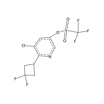 O=S(=O)(Oc1cnc(C2CC(F)(F)C2)c(Cl)c1)C(F)(F)F